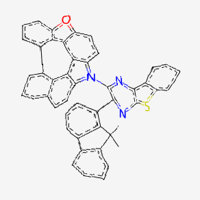 CC1(C)c2ccccc2-c2cccc(-c3nc4sc5ccccc5c4nc3-n3c4ccc5cccc6c5c4c4c5c(ccc43)oc3cccc-6c35)c21